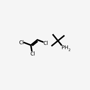 CC(C)(C)P.ClC=C(Cl)Cl